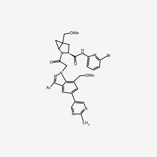 COCc1cc(-c2cnc(C)nc2)cc2c(C(C)=O)nn(CC(=O)N3C4CC4(COC)C[C@H]3C(=O)Nc3cccc(Br)n3)c12